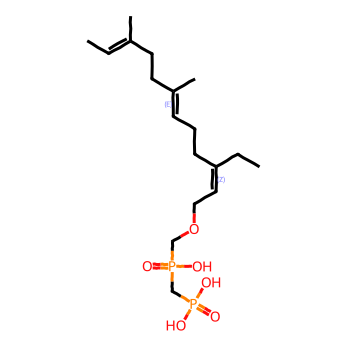 CC=C(C)CC/C(C)=C/CC/C(=C\COCP(=O)(O)CP(=O)(O)O)CC